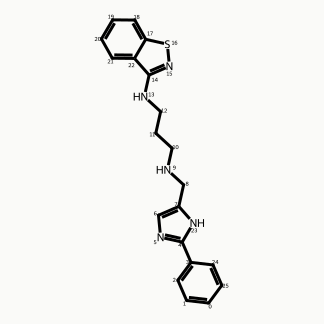 c1ccc(-c2ncc(CNCCCNc3nsc4ccccc34)[nH]2)cc1